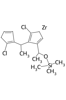 CC(O[Si](C)(C)C)C1=CCC(Cl)=C1C(C)C1=C(Cl)CC=C1.[Zr]